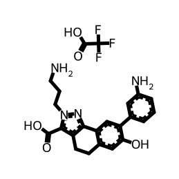 NCCCn1nc2c(c1C(=O)O)CCc1cc(O)c(-c3cccc(N)c3)cc1-2.O=C(O)C(F)(F)F